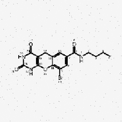 CCCCNC(=O)c1cc(Br)c2c(c1)Cc1c([nH]c(=O)[nH]c1=O)O2